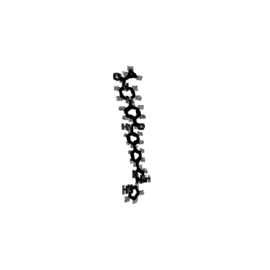 O=C(Nc1ccc(-c2ccc(-c3c[nH]c([C@@H]4CCCN4)n3)cc2)cc1)c1ccc(N2CCN(C(=O)C3CC3)CC2)cc1